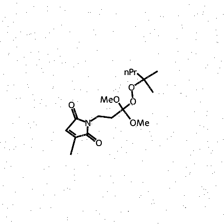 CCCC(C)(C)OOC(CCN1C(=O)C=C(C)C1=O)(OC)OC